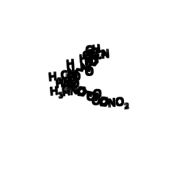 C[C@H](NC(=O)CCNC(=O)c1ccc(C#N)c(S(C)(=O)=O)n1)C(=O)N[C@@H](C)C(=O)Nc1ccc(COC(=O)Oc2ccc([N+](=O)[O-])cc2)cc1